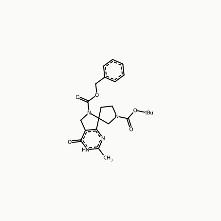 Cc1nc2c(c(=O)[nH]1)CN(C(=O)OCc1ccccc1)C21CCN(C(=O)OC(C)(C)C)C1